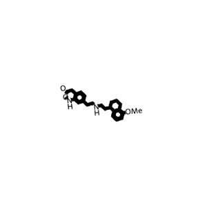 COc1cccc2c1CCCC2CCNCCc1ccc2c(c1)NOC(=O)C2